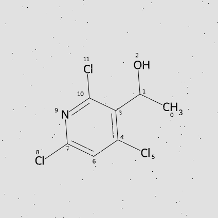 CC(O)c1c(Cl)cc(Cl)nc1Cl